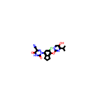 CC(C)c1nc(Oc2c(Cl)cc(-n3nc(C#N)c(=O)[nH]c3=O)c3c2CCC3)ncc1O